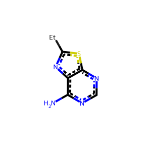 CCc1nc2c(N)ncnc2s1